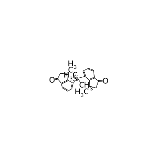 CC1CC(=O)c2cccc([Si](C)(C)c3cccc4c3C(C)CC4=O)c21